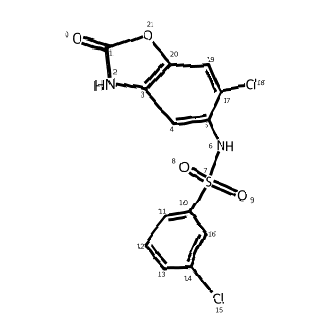 O=c1[nH]c2cc(NS(=O)(=O)c3cccc(Cl)c3)c(Cl)cc2o1